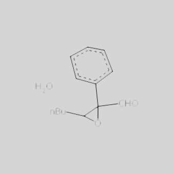 CCCCC1OC1(C=O)c1ccccc1.O